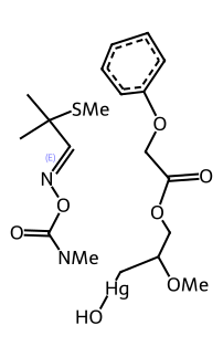 CNC(=O)O/N=C/C(C)(C)SC.COC(COC(=O)COc1ccccc1)[CH2][Hg][OH]